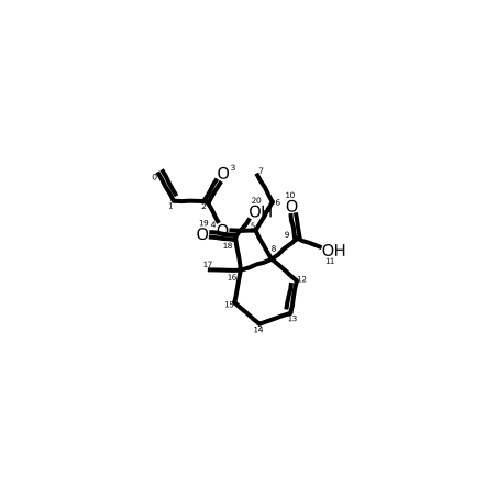 C=CC(=O)OC(CC)C1(C(=O)O)C=CCCC1(C)C(=O)O